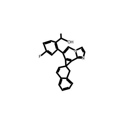 CC(O)c1ccc(F)cc1-c1cn2ccnc2c2c1C21C=Cc2ccccc2C1